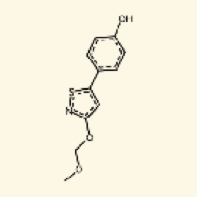 COCOc1cc(-c2ccc(O)cc2)sn1